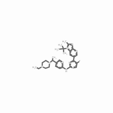 CCN1CCN(C(C)c2ccc(Nc3ncc(F)c(-c4cnc5nc(C)n(C(C)(C)C)c5c4)n3)nc2)CC1